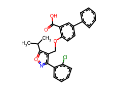 CC(C)c1onc(-c2ccccc2Cl)c1COc1ccc(-c2ccccc2)cc1C(=O)O